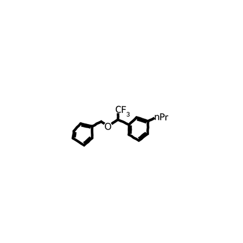 CCCc1cccc(C(OCc2ccccc2)C(F)(F)F)c1